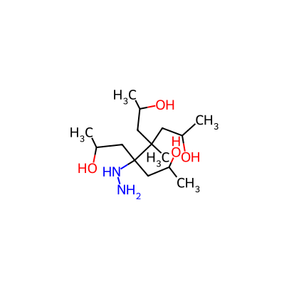 CC(O)CC(C)(CC(C)O)C(CC(C)O)(CC(C)O)NN